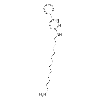 NCCCCCCCCCCCCNc1ccc(-c2ccccc2)nn1